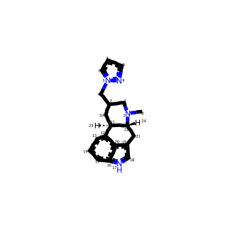 CN1CC(Cn2cccn2)C[C@@H]2c3cccc4[nH]cc(c34)C[C@H]21